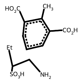 CCC(CN)S(=O)(=O)O.Cc1c(C(=O)O)cccc1C(=O)O